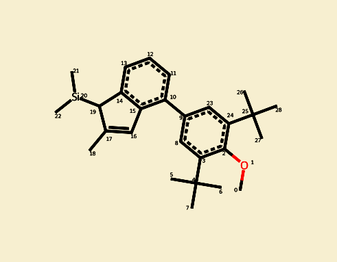 COc1c(C(C)(C)C)cc(-c2cccc3c2C=C(C)C3[Si](C)C)cc1C(C)(C)C